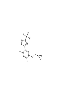 Cc1cc(C)c(-n2cnc(C(F)(F)F)n2)cc1SCC1CO1